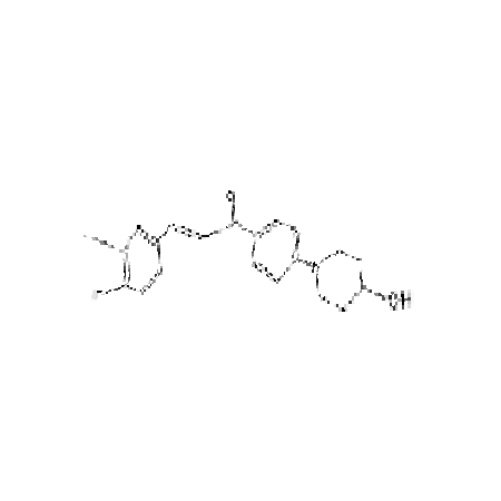 Cc1cc(C=CC(=O)c2ccc(N3CCC(O)CC3)cc2)ccc1F